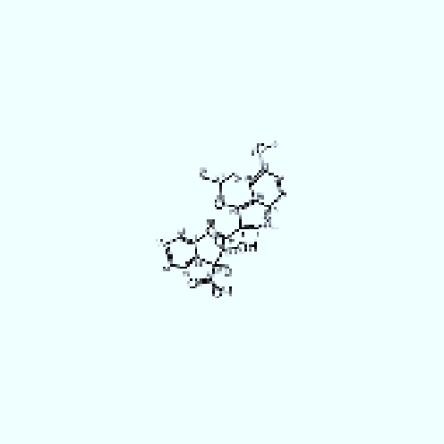 COc1ccc2ncc(COc3ccccc3C(C)(C(=O)O)C(=O)O)c(OC(C)C)c2c1